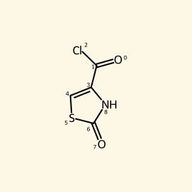 O=C(Cl)c1csc(=O)[nH]1